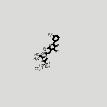 CC(C)c1nc(-c2cccc(C(F)(F)F)c2)c(F)c(C(C)C)c1CC(=O)N1C=C(S(=N)(=O)NC(=O)O)SC1C(C)(C)O